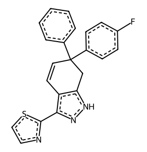 Fc1ccc(C2(c3ccccc3)C=Cc3c(-c4nccs4)n[nH]c3C2)cc1